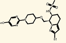 CCc1cc2n(n1)[C@@H](COC1CCN(c3ncc(OC)cn3)CC1)[C@@H](NS(C)(=O)=O)CC2